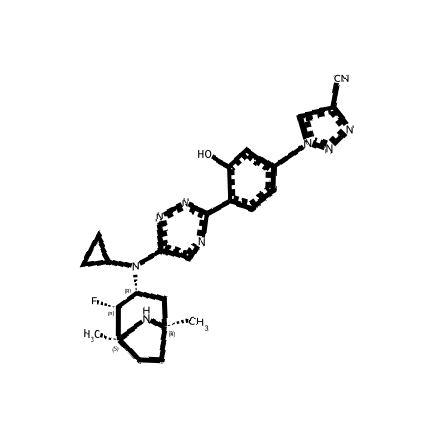 C[C@]12CC[C@](C)(N1)[C@H](F)[C@H](N(c1cnc(-c3ccc(-n4cc(C#N)nn4)cc3O)nn1)C1CC1)C2